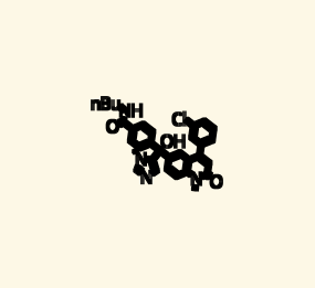 CCCCNC(=O)c1ccc(C(O)(c2ccc3c(c2)c(-c2cccc(Cl)c2)cc(=O)n3C)c2cncn2C)cc1